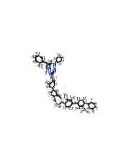 CC1(C)c2ccccc2-c2ccc(-c3ccc(C4=CCC=c5ccc(-c6ccc(-c7nc(-c8ccccc8)cc(-c8ccccc8)n7)cc6)cc5=C4)cc3)cc21